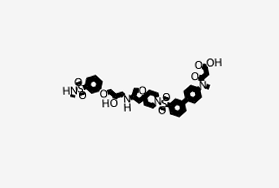 CNS(=O)(=O)c1cccc(OCC(O)CNC2COC3(CCN(S(=O)(=O)c4cccc(-c5ccc(N(C)C(=O)CC(=O)O)cc5)c4)CC3)C2)c1